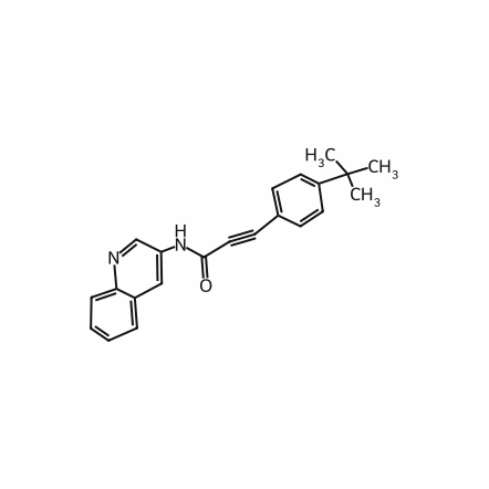 CC(C)(C)c1ccc(C#CC(=O)Nc2cnc3ccccc3c2)cc1